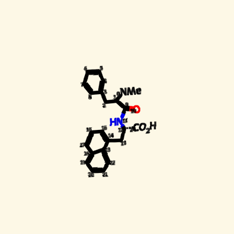 CNC(Cc1ccccc1)C(=O)N[C@@H](Cc1cccc2ccccc12)C(=O)O